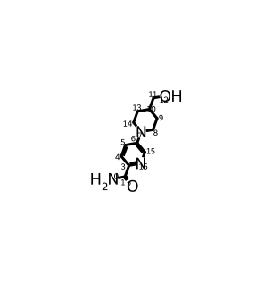 NC(=O)c1ccc(N2CCC(CO)CC2)cn1